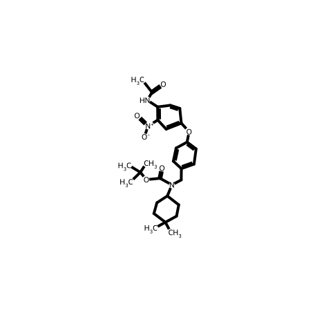 CC(=O)Nc1ccc(Oc2ccc(CN(C(=O)OC(C)(C)C)C3CCC(C)(C)CC3)cc2)cc1[N+](=O)[O-]